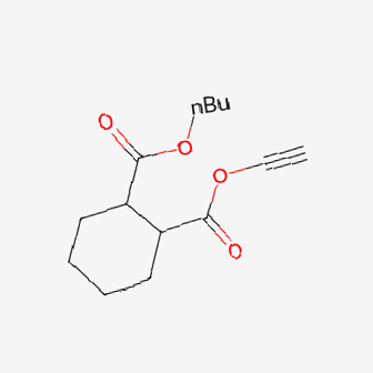 C#COC(=O)C1CCCCC1C(=O)OCCCC